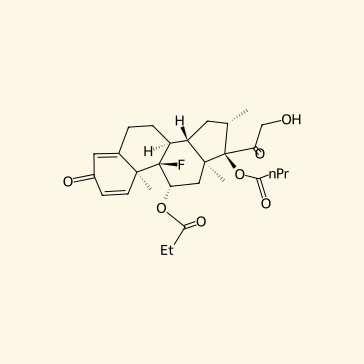 CCCC(=O)O[C@]1(C(=O)CO)[C@@H](C)C[C@H]2[C@@H]3CCC4=CC(=O)C=C[C@]4(C)[C@@]3(F)[C@@H](OC(=O)CC)C[C@@]21C